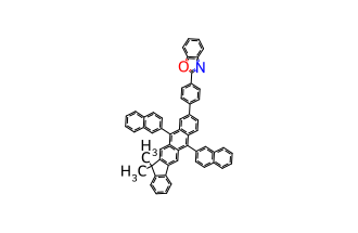 CC1(C)c2ccccc2-c2cc3c(-c4ccc5ccccc5c4)c4ccc(-c5ccc(-c6nc7ccccc7o6)cc5)cc4c(-c4ccc5ccccc5c4)c3cc21